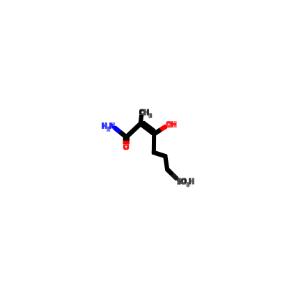 CC(C(N)=O)=C(O)CCCS(=O)(=O)O